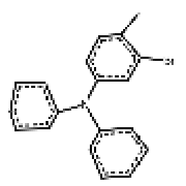 Brc1cc(N(c2ccccc2)c2ccccc2)ccc1I